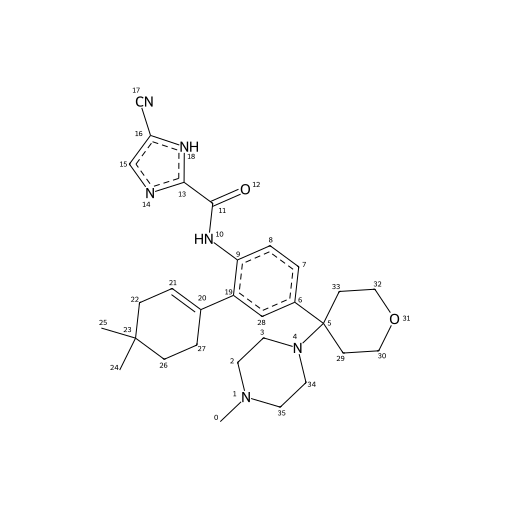 CN1CCN(C2(c3ccc(NC(=O)c4ncc(C#N)[nH]4)c(C4=CCC(C)(C)CC4)c3)CCOCC2)CC1